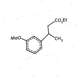 CCOC(=O)CC(C)c1cccc(OC)c1